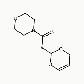 S=C(SC1OC=CCO1)N1CCOCC1